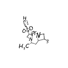 CC(CC1C(F)CN1C(C)C)N1CC(S(C)(=O)=O)C1